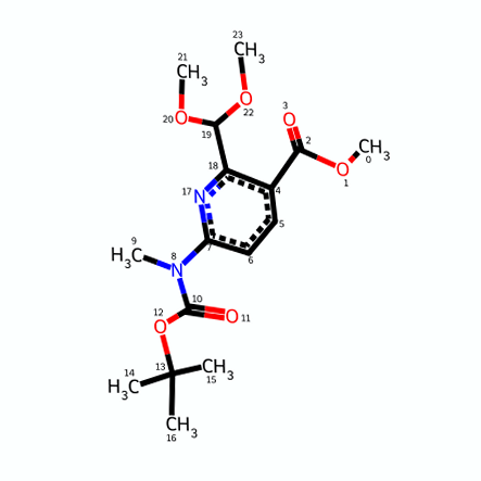 COC(=O)c1ccc(N(C)C(=O)OC(C)(C)C)nc1C(OC)OC